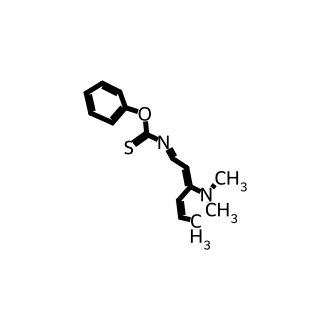 C\C=C/C(=C\C=N\C(=S)Oc1ccccc1)N(C)C